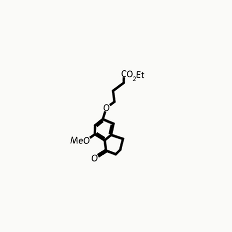 CCOC(=O)CCCOc1cc2c(c(OC)c1)C(=O)CCC2